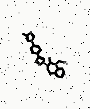 Cc1cn(-c2ccc(-c3cn([C@@H]4CCc5ccccc5N(CC(F)(F)F)C4=O)nn3)cc2)cn1